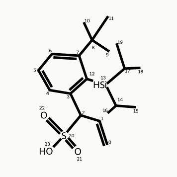 C=CC(c1cccc(C(C)(C)C)c1[SiH](C(C)C)C(C)C)S(=O)(=O)O